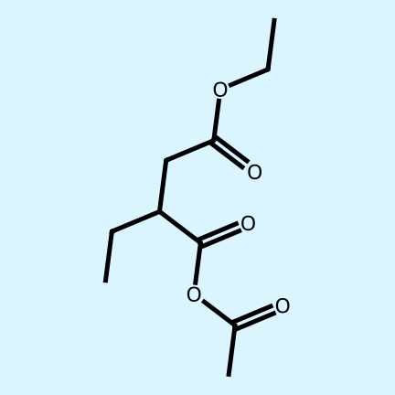 CCOC(=O)CC(CC)C(=O)OC(C)=O